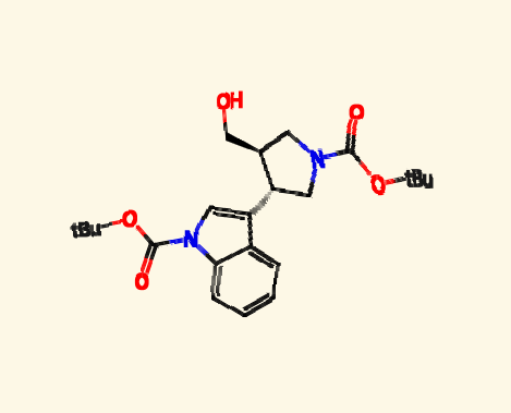 CC(C)(C)OC(=O)N1C[C@H](CO)[C@@H](c2cn(C(=O)OC(C)(C)C)c3ccccc23)C1